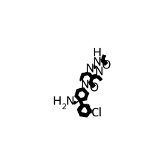 CC(=O)Nc1nc(C)c2c(n1)CCN([C@H]1CC[C@@](CN)(c3cccc(Cl)c3)CC1)C2=O